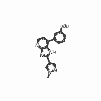 CCCCc1cccc(-c2ccnc3nc(-c4cnn(C)c4)[nH]c23)c1